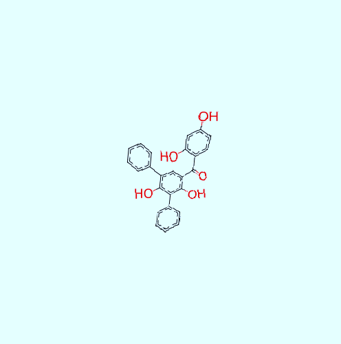 O=C(c1ccc(O)cc1O)c1cc(-c2ccccc2)c(O)c(-c2ccccc2)c1O